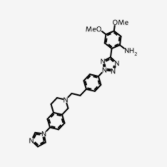 COc1cc(N)c(-c2nnn(-c3ccc(CCN4CCc5cc(-n6ccnc6)ccc5C4)cc3)n2)cc1OC